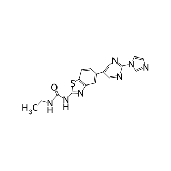 CCNC(=O)Nc1nc2cc(-c3cnc(-n4ccnc4)nc3)ccc2s1